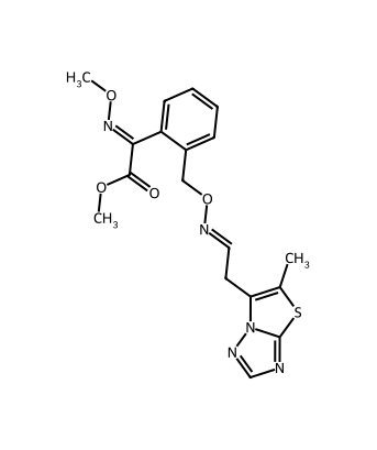 CO/N=C(/C(=O)OC)c1ccccc1CON=CCc1c(C)sc2ncnn12